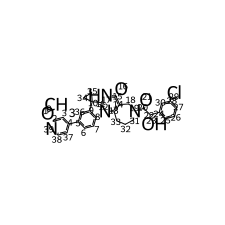 COc1cc(-c2cccc(C3(c4nc5c(c(=O)[nH]4)CN(C(=O)C(O)c4cccc(Cl)c4)CCC5)CC3)c2)ccn1